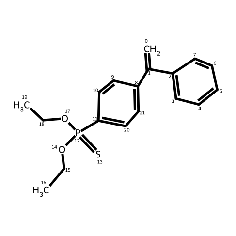 C=C(c1ccccc1)c1ccc(P(=S)(OCC)OCC)cc1